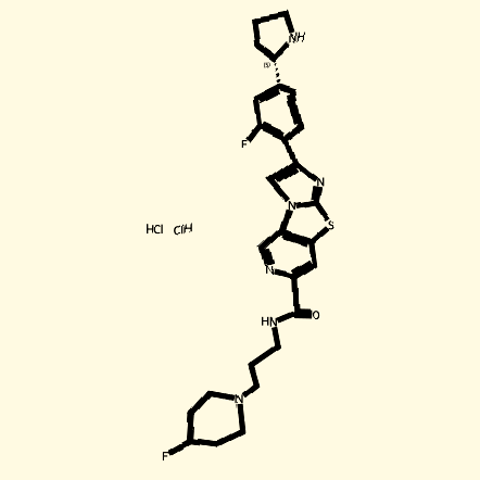 Cl.Cl.O=C(NCCCN1CCC(F)CC1)c1cc2sc3nc(-c4ccc([C@@H]5CCCN5)cc4F)cn3c2cn1